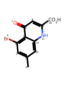 Cc1cc(Br)c2c(=O)cc(C(=O)O)[nH]c2c1